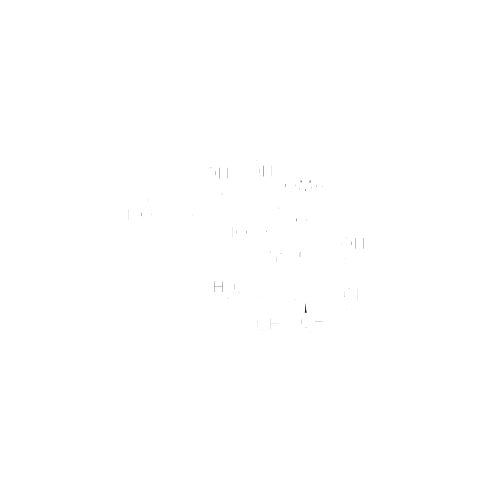 C=C(O)C1O[C@H](OC(CO)(OC)C(O)CC(O)CCO)C(O)C(O)[C@H]1O